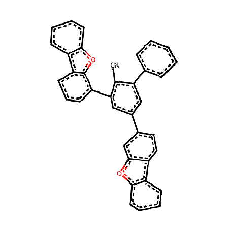 N#Cc1c(-c2ccccc2)cc(-c2ccc3c(c2)oc2ccccc23)cc1-c1cccc2c1oc1ccccc12